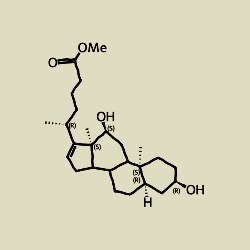 COC(=O)CCC[C@@H](C)C1=CCC2C3CC[C@@H]4C[C@H](O)CC[C@]4(C)C3C[C@H](O)[C@]12C